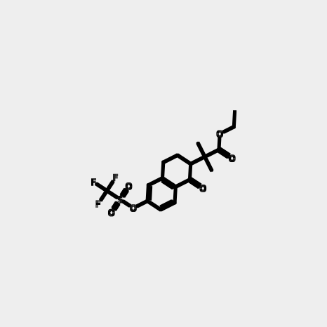 CCOC(=O)C(C)(C)C1CCc2cc(OS(=O)(=O)C(F)(F)F)ccc2C1=O